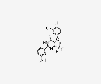 CNc1cccc(-c2nc(C(F)(F)F)c(Oc3ccc(Cl)c(Cl)c3)c(=O)[nH]2)n1